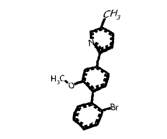 COc1cc(-c2ccc(C)cn2)ccc1-c1ccccc1Br